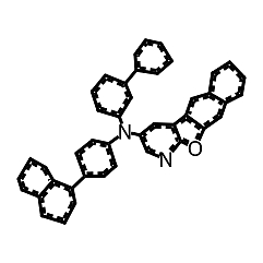 c1ccc(-c2cccc(N(c3ccc(-c4cccc5ccccc45)cc3)c3cnc4oc5cc6ccccc6cc5c4c3)c2)cc1